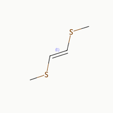 CS/C=C/SC